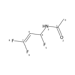 CC(=O)NC(F)C=C(F)F